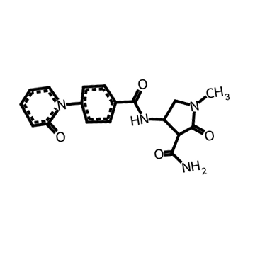 CN1CC(NC(=O)c2ccc(-n3ccccc3=O)cc2)C(C(N)=O)C1=O